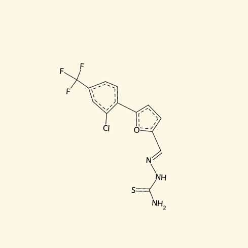 NC(=S)NN=Cc1ccc(-c2ccc(C(F)(F)F)cc2Cl)o1